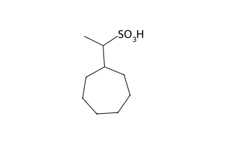 CC(C1CCCCCC1)S(=O)(=O)O